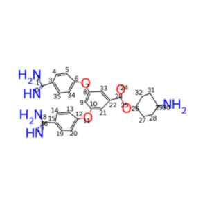 N=C(N)c1ccc(Oc2cc(Oc3ccc(C(=N)N)cc3)cc(C(=O)OC3CCC(N)CC3)c2)cc1